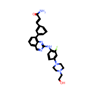 NC(=O)C=Cc1cccc(-c2cccc3cnc(Nc4ccc(N5CCN(CCO)CC5)cc4F)nc23)c1